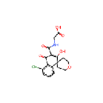 O=C(O)CNC(=O)C1=C(O)C2(CCOCC2)c2cccc(Cl)c2C1=O